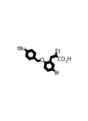 CCC(=Cc1cc(Br)ccc1OCc1ccc(C(C)(C)C)cc1)C(=O)O